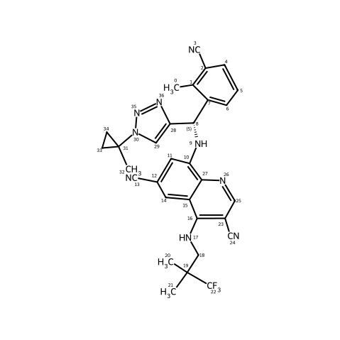 Cc1c(C#N)cccc1[C@H](Nc1cc(C#N)cc2c(NCC(C)(C)C(F)(F)F)c(C#N)cnc12)c1cn(C2(C)CC2)nn1